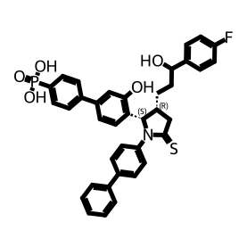 O=P(O)(O)c1ccc(-c2ccc([C@@H]3[C@H](CCC(O)c4ccc(F)cc4)CC(=S)N3c3ccc(-c4ccccc4)cc3)c(O)c2)cc1